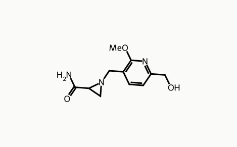 COc1nc(CO)ccc1CN1CC1C(N)=O